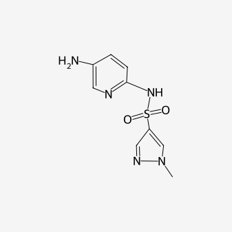 Cn1cc(S(=O)(=O)Nc2ccc(N)cn2)cn1